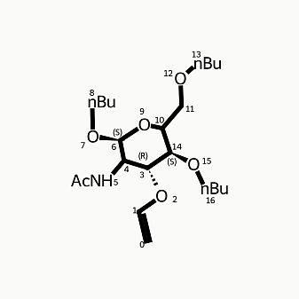 C=CO[C@@H]1C(NC(C)=O)[C@@H](OCCCC)OC(COCCCC)[C@H]1OCCCC